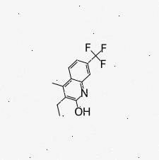 [CH2]Cc1c(O)nc2cc(C(F)(F)F)ccc2c1C